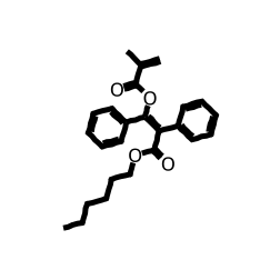 C=C(C)C(=O)OC(=C(C(=O)OCCCCCC)c1ccccc1)c1ccccc1